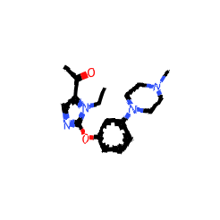 CCn1c(C(C)=O)cnc1Oc1cccc(N2CCN(C)CC2)c1